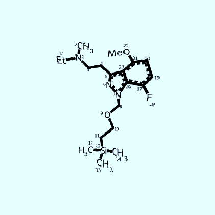 CCN(C)CCc1nn(COCC[Si](C)(C)C)c2c(F)ccc(OC)c12